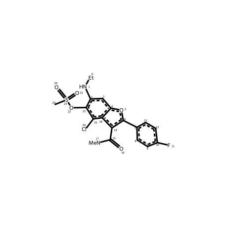 CCNc1cc2oc(-c3ccc(F)cc3)c(C(=O)NC)c2c(Cl)c1OS(C)(=O)=O